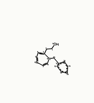 OCCC1=CC=NC=CN1Cc1ccccc1